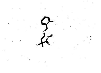 CC(Cl)(CCSCc1ccccc1F)C(=O)OBr